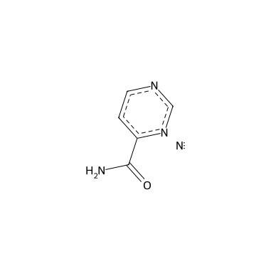 NC(=O)c1ccncn1.[N]